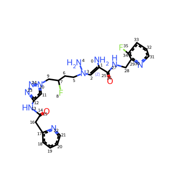 N/C(=C\N(N)CCC(F)Cn1cc(NC(=O)Cc2ccccn2)nn1)C(=O)NCc1ncccc1F